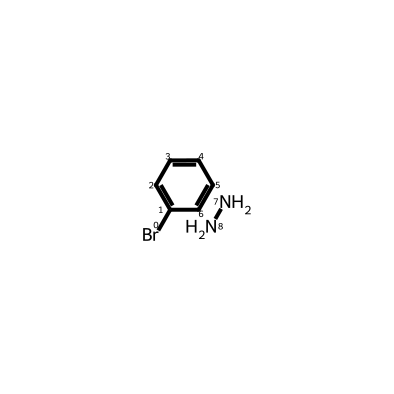 Brc1ccccc1.NN